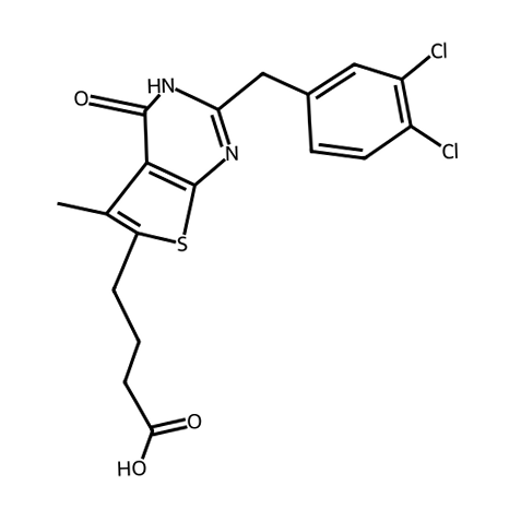 Cc1c(CCCC(=O)O)sc2nc(Cc3ccc(Cl)c(Cl)c3)[nH]c(=O)c12